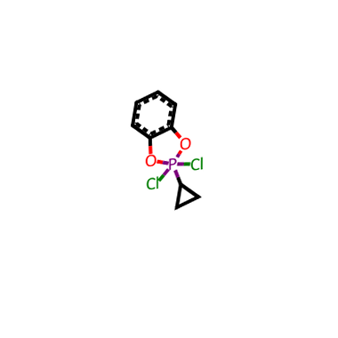 ClP1(Cl)(C2CC2)Oc2ccccc2O1